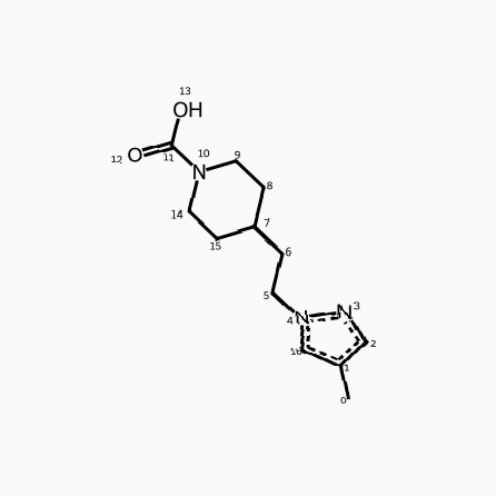 Cc1cnn(CCC2CCN(C(=O)O)CC2)c1